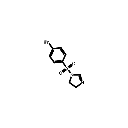 CC(C)c1ccc(S(=O)(=O)N2C=NCC2)cc1